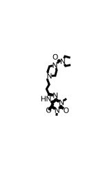 CCN(CC)C(=O)N1CCN(CCCc2nc3c([nH]2)c(=O)n(C)c(=O)n3C)CC1